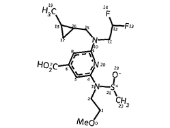 COCCN(c1cc(C(=O)O)cc(N(CC(F)F)CC2CC2C)n1)[S+](C)[O-]